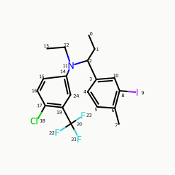 CCC(c1ccc(C)c(I)c1)N(CC)c1ccc(Cl)c(C(F)(F)F)c1